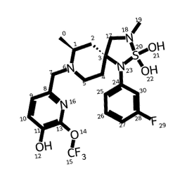 C[C@H]1C[C@]2(CCN1Cc1ccc(O)c(OC(F)(F)F)n1)CN(C)S(O)(O)N2c1cccc(F)c1